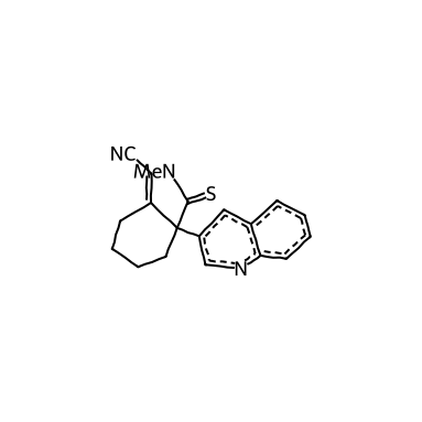 CNC(=S)C1(c2cnc3ccccc3c2)CCCCC1=CC#N